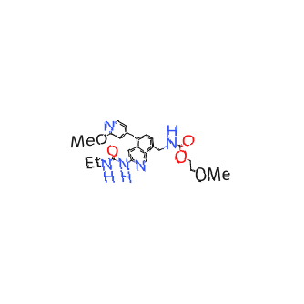 CCNC(=O)Nc1cc2c(-c3ccnc(OC)c3)ccc(CNC(=O)OCCOC)c2cn1